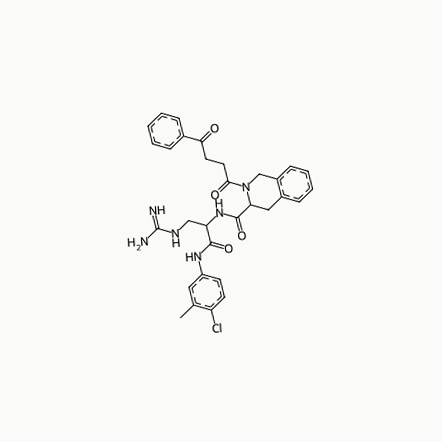 Cc1cc(NC(=O)C(CNC(=N)N)NC(=O)C2Cc3ccccc3CN2C(=O)CCC(=O)c2ccccc2)ccc1Cl